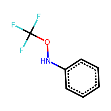 FC(F)(F)ONc1ccccc1